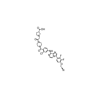 N#CCOc1ccc(-c2cnc3c(Nc4ccc(C(=O)N5CCN(C(=O)CN6CCC(C(=O)O)C6)CC5)c(Cl)c4)nccn23)c(F)c1F